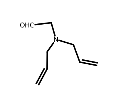 C=CCN(CC=C)CC=O